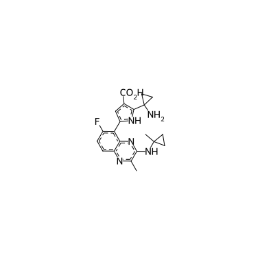 Cc1nc2ccc(F)c(-c3cc(C(=O)O)c(C4(N)CC4)[nH]3)c2nc1NC1(C)CC1